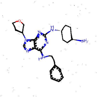 N[C@H]1CC[C@H](Nc2nc(NCc3ccccc3)c3ncn(C4CCOC4)c3n2)CC1